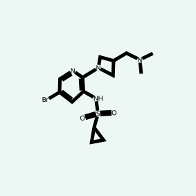 CN(C)CC1CN(c2ncc(Br)cc2NS(=O)(=O)C2CC2)C1